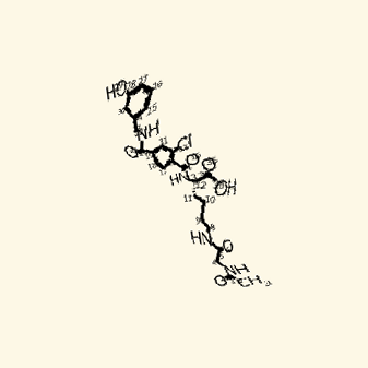 CC(=O)NCC(=O)NCCCC[C@H](NC(=O)c1ccc(C(=O)NCc2cccc(O)c2)cc1Cl)C(=O)O